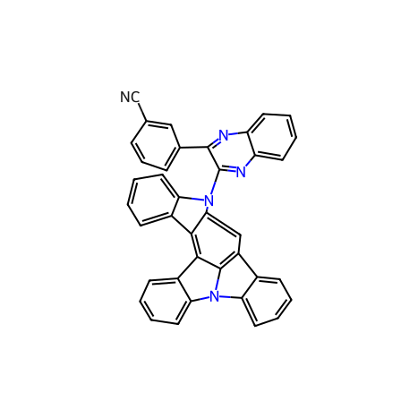 N#Cc1cccc(-c2nc3ccccc3nc2-n2c3ccccc3c3c4c5ccccc5n5c6ccccc6c(cc32)c45)c1